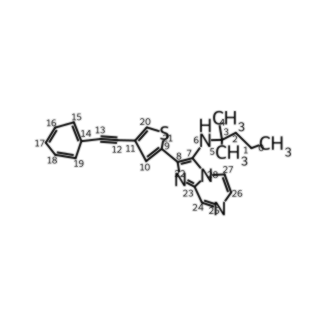 CCCC(C)(C)Nc1c(-c2cc(C#Cc3ccccc3)cs2)nc2cnccn12